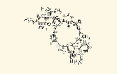 C=CC(=O)N(C)C(=O)N(C)[C@H](C(=O)N[C@H]1Cc2nc(cs2)-c2ccc3c(c2)c(c(-c2cccnc2[C@H](C)OC)n3CC)CC(C)(C)COC(=O)[C@@H]2CCCN(N2)C1=O)C(C)C